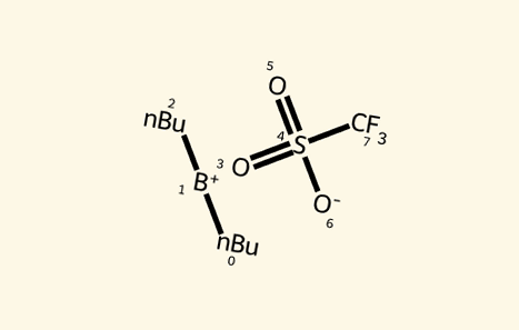 CCCC[B+]CCCC.O=S(=O)([O-])C(F)(F)F